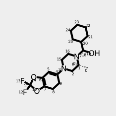 C[C@@H]1CN(C2=CC3=C(CC2)OC(F)(F)O3)CCN1C(O)C1CCCCC1